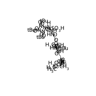 Cc1cc(OCCCC(=O)NCCNC(=O)C(CS(=O)(=O)O)NC(=O)CN2CCN(CC(=O)OC(C)(C)C)CCN(CC(=O)OC(C)(C)C)CCN(CC(=O)OC(C)(C)C)CC2)cc(C)c1S(=O)(=O)N[C@H](CNC(=O)CCCCc1ccc2c(n1)N(S(=O)(=O)c1c(C)c(C)c3c(c1C)CCC(C)(C)O3)CCC2)C(=O)OC(C)(C)C